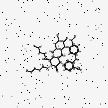 C=C1[C@H](COCCCC)[C@@H](OCCCC)[C@H](OCCCC)[C@@H](OCCCC)[C@@H]1c1ccc(Cl)c(Cc2ccc(CC)cc2)c1